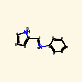 C(=N\c1ccccc1)/c1ccc[nH]1